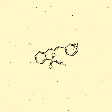 NS(=O)(=O)c1ccccc1CC=Cc1cccnc1